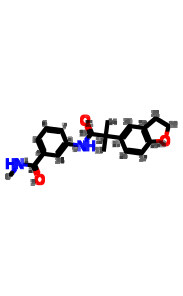 CNC(=O)c1cccc(NC(=O)C(C)(C)c2ccc3c(c2)CCO3)c1